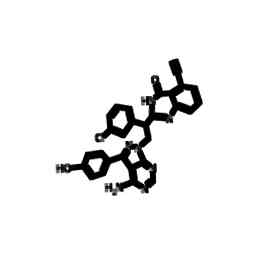 C#Cc1cccc2nc(C(Cn3nc(-c4ccc(O)cc4)c4c(N)ncnc43)c3cccc(Cl)c3)[nH]c(=O)c12